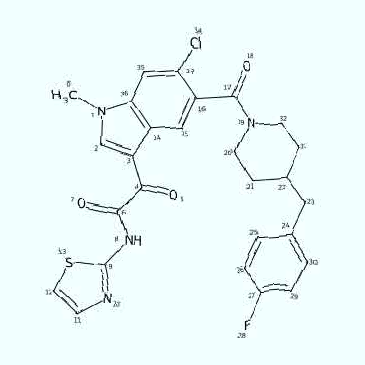 Cn1cc(C(=O)C(=O)Nc2nccs2)c2cc(C(=O)N3CCC(Cc4ccc(F)cc4)CC3)c(Cl)cc21